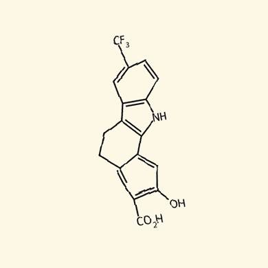 O=C(O)c1cc2c(cc1O)-c1[nH]c3ccc(C(F)(F)F)cc3c1CC2